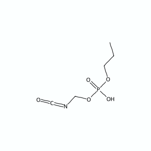 CCCOP(=O)(O)OCN=C=O